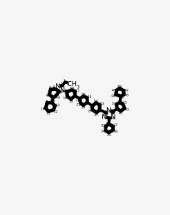 CCc1nc2ccc(-c3ccccc3)cc2n1-c1ccc(-c2ccc(-c3ccc(-c4nc(-c5ccccc5)nc(-c5cccc(-c6ccccc6)c5)n4)cc3)cc2)cc1